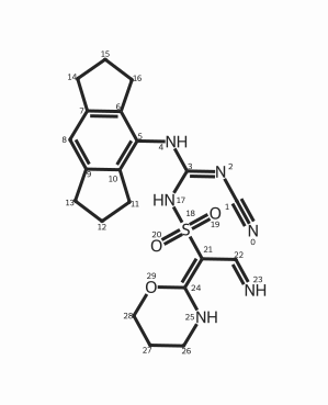 N#C/N=C(/Nc1c2c(cc3c1CCC3)CCC2)NS(=O)(=O)/C(C=N)=C1/NCCCO1